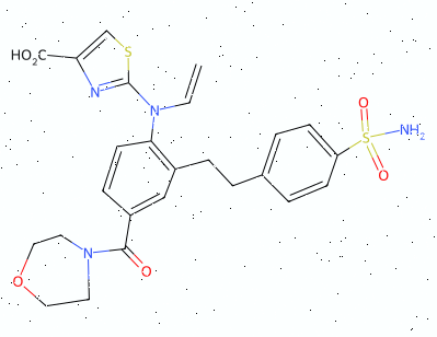 C=CN(c1nc(C(=O)O)cs1)c1ccc(C(=O)N2CCOCC2)cc1CCc1ccc(S(N)(=O)=O)cc1